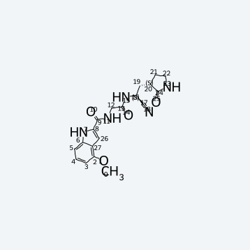 COc1cccc2[nH]c(C(=O)NCC(=O)N[C@H](C#N)C[C@@H]3CCNC3=O)cc12